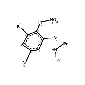 CC(C)NC(C)C.O=[N+]([O-])Nc1c(Br)cc(Br)cc1Br